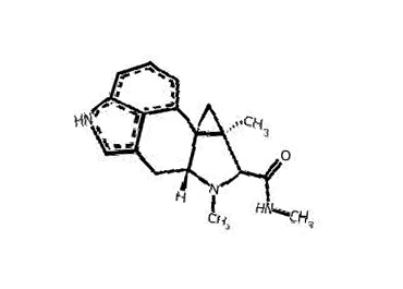 CNC(=O)C1N(C)[C@@H]2Cc3c[nH]c4cccc(c34)[C@@]23C[C@@]13C